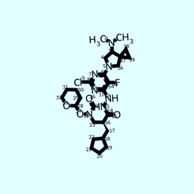 CN(C)C1CN(c2nc(Cl)nc(NNC(=O)[C@@H](CC3CCCC3)CN(C=O)OC3CCCCO3)c2F)CC12CC2